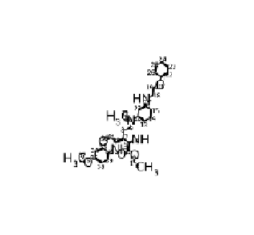 CCOC(=O)C(=N)/C(CCN(C)c1cccc(NCCOc2ccccc2)c1)=C(/C=O)Nc1ccc(OC)cc1